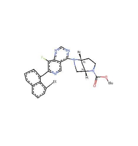 CCc1cccc2cccc(-c3ncc4c(N5C[C@@H]6[C@H]5CCN6C(=O)OC(C)(C)C)ncnc4c3F)c12